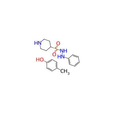 Cc1ccc(O)cc1.O=S(=O)(NNc1ccccc1)C1CCNCC1